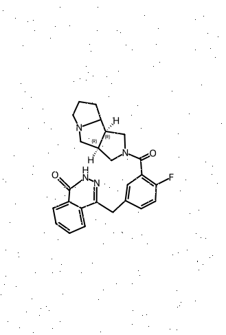 O=C(c1cc(Cc2n[nH]c(=O)c3ccccc23)ccc1F)N1C[C@H]2CN3CCCC3[C@H]2C1